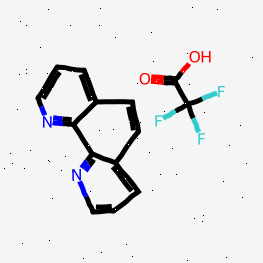 O=C(O)C(F)(F)F.c1cnc2c(c1)ccc1cccnc12